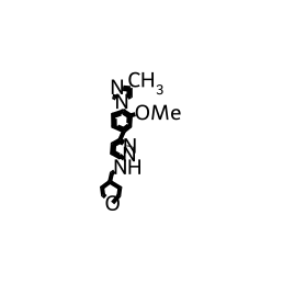 COc1cc(-c2ccc(NCC3CCOCC3)nn2)ccc1-n1cnc(C)c1